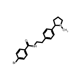 CN1CCCC1c1ccc(CCNC(=O)c2ccc(Br)cc2)cc1